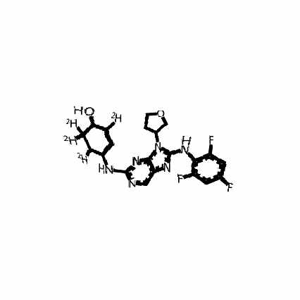 [2H]C1CC(Nc2ncc3nc(Nc4c(F)cc(F)cc4F)n(C4CCOC4)c3n2)C([2H])C([2H])([2H])C1O